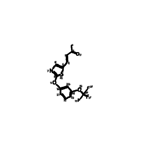 CC(=O)/C=C/c1cnc(Oc2cccc(OC(F)(F)F)c2)s1